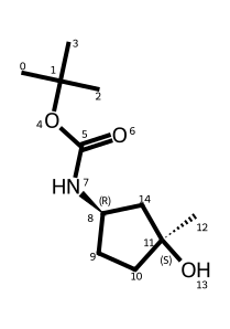 CC(C)(C)OC(=O)N[C@@H]1CC[C@](C)(O)C1